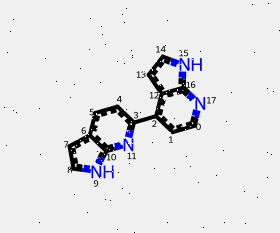 c1cc(-c2ccc3cc[nH]c3n2)c2cc[nH]c2n1